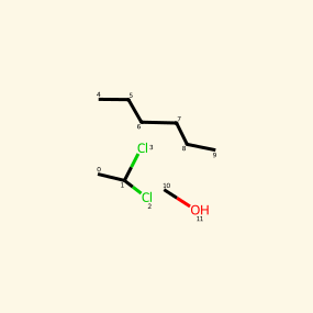 CC(Cl)Cl.CCCCCC.CO